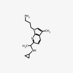 Cc1cn(CCCP)c2nc(C(C)NC3CC3)ccc12